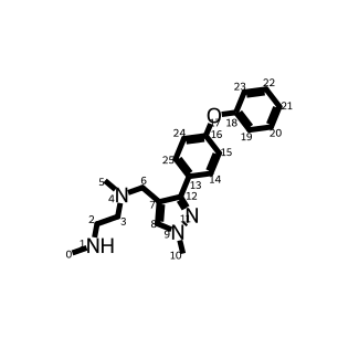 CNCCN(C)Cc1cn(C)nc1-c1ccc(Oc2ccccc2)cc1